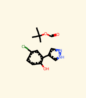 CC(C)(C)OC=O.Oc1ccc(Cl)cc1-c1cn[nH]c1